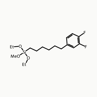 CCO[Si](CCCCCCc1ccc(F)c(F)c1)(OC)OCC